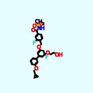 CS(=O)(=O)NC(=O)c1ccc(COC2=CC(c3cccc(OCC4CC4)c3)=CC(F)(OCCO)C2)c(F)c1